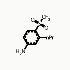 CCCc1cc(N)ccc1S(=O)(=O)C(F)(F)F